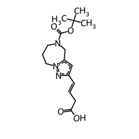 CC(C)(C)OC(=O)N1CCCn2nc(/C=C/CC(=O)O)cc2C1